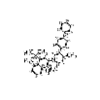 Cc1cc(C)[n+](-c2cc(C(C)(C)C)c3ccccc3c2C)cc1-c1ccc(-c2ccccc2)cc1